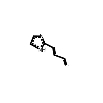 [CH]=CC=Cc1ncc[nH]1